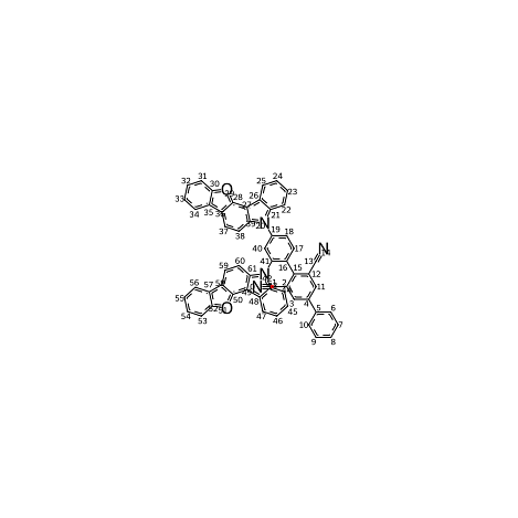 N#Cc1cc(-c2ccccc2)cc(C#N)c1-c1ccc(-n2c3ccccc3c3c4oc5ccccc5c4ccc32)cc1-n1c2ccccc2c2c3oc4ccccc4c3ccc21